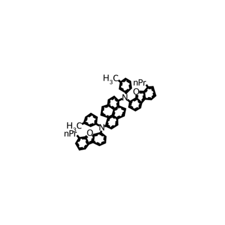 CCCc1cccc2c1oc1c(N(c3cccc(C)c3)c3ccc4ccc5c(N(c6cccc(C)c6)c6cccc7c6oc6c(CCC)cccc67)ccc6ccc3c4c65)cccc12